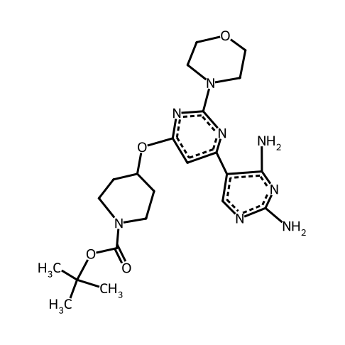 CC(C)(C)OC(=O)N1CCC(Oc2cc(-c3cnc(N)nc3N)nc(N3CCOCC3)n2)CC1